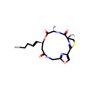 CSCC/C=C/[C@@H]1CC(=O)NCc2nc(co2)C2=N[C@@](C)(CS2)C(=O)N[C@@H](C(C)C)C(=O)O1